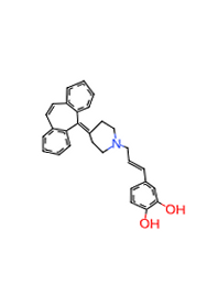 Oc1ccc(C=CCN2CCC(=C3c4ccccc4C=Cc4ccccc43)CC2)cc1O